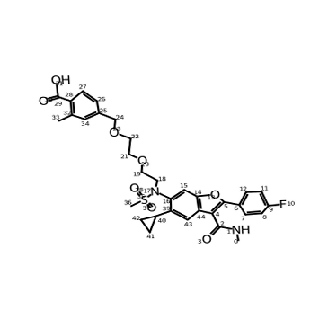 CNC(=O)c1c(-c2ccc(F)cc2)oc2cc(N(CCOCCOCc3ccc(C(=O)O)c(C)c3)S(C)(=O)=O)c(C3CC3)cc12